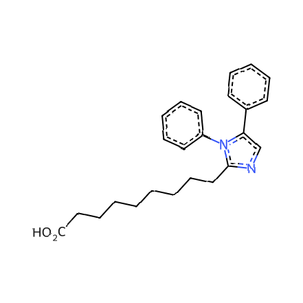 O=C(O)CCCCCCCCc1ncc(-c2ccccc2)n1-c1ccccc1